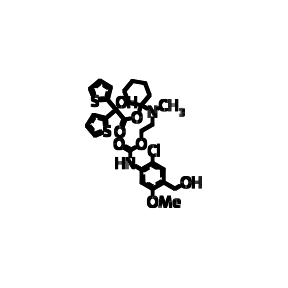 COc1cc(NC(=O)OCCN(C)C2(OC(=O)C(O)(c3cccs3)c3cccs3)CCCCC2)c(Cl)cc1CO